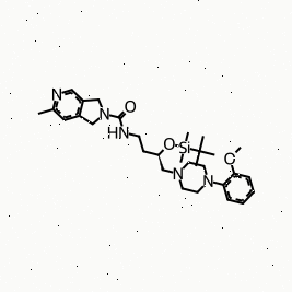 COc1ccccc1N1CCN(C[C@@H](CCNC(=O)N2Cc3cnc(C)cc3C2)O[Si](C)(C)C(C)(C)C)CC1